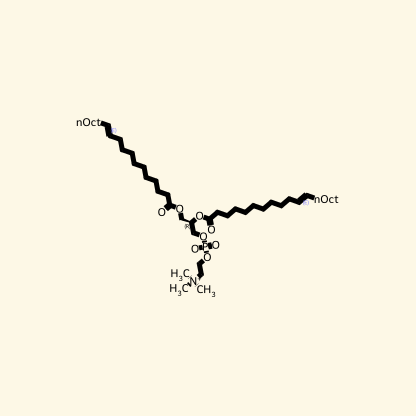 CCCCCCCC/C=C/CCCCCCCCCC(=O)OC[C@H](COP(=O)([O-])OCC[N+](C)(C)C)OC(=O)CCCCCCCCC/C=C/CCCCCCCC